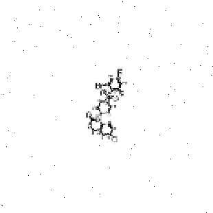 O=C1OCc2cc(Cl)ccc2N1C1CCN(S(=O)(=O)c2c(F)cc(F)cc2Br)CC1